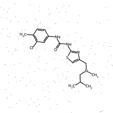 Cc1ccc(NC(=O)Nc2nc(CN(C)CC(C)C)cs2)cc1Cl